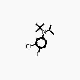 CC(C)N(c1ccc(F)c(Cl)c1)C(C)(C)C